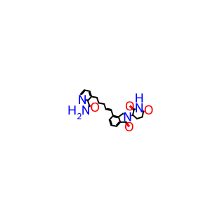 NC(=O)c1ncccc1CCCC=Cc1cccc2c1CN(C1CCC(=O)NC1=O)C2=O